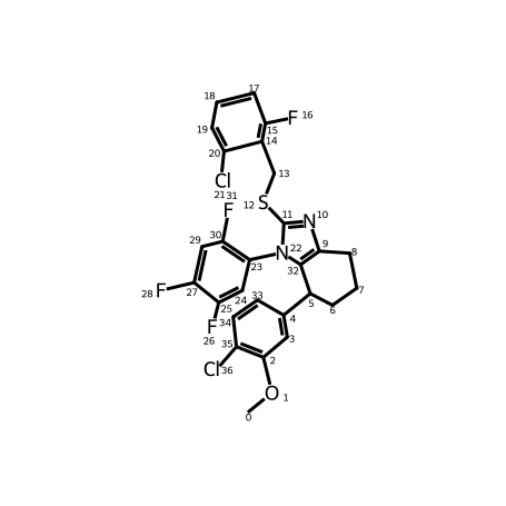 COc1cc(C2CCCc3nc(SCc4c(F)cccc4Cl)n(-c4cc(F)c(F)cc4F)c32)ccc1Cl